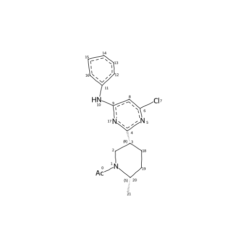 CC(=O)N1C[C@H](c2nc(Cl)cc(Nc3ccccc3)n2)CC[C@@H]1C